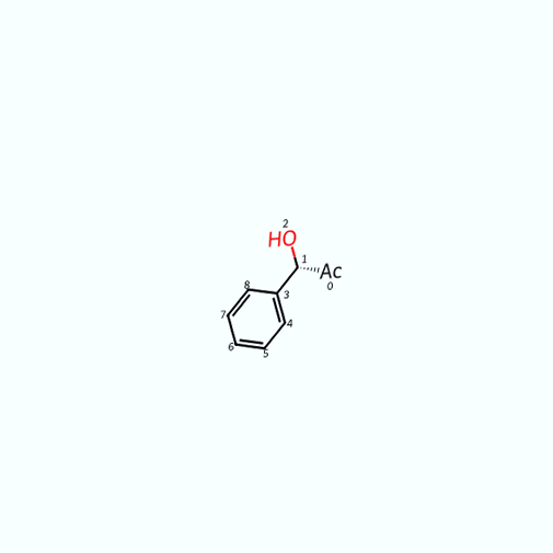 CC(=O)[C@@H](O)c1ccccc1